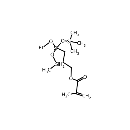 C=C(C)C(=O)OCCC[Si](OCC)(O[SiH2]C)O[Si](C)(C)C